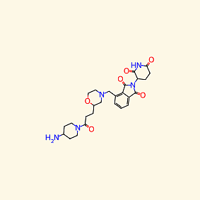 NC1CCN(C(=O)CCC2CN(Cc3cccc4c3C(=O)N(C3CCC(=O)NC3=O)C4=O)CCO2)CC1